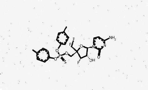 Cc1ccc(OP(=S)(OC[C@@]2(C(F)F)O[C@@H](n3ccc(N)nc3=O)[C@H](O)[C@@H]2F)Oc2ccc(C)cc2)cc1